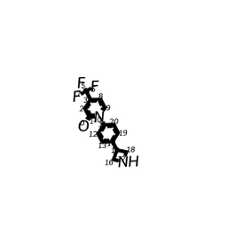 O=c1cc(C(F)(F)F)ccn1-c1ccc(C2CNC2)cc1